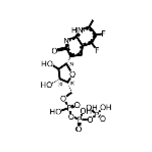 Cc1[nH]c2nc(=O)c([C@@H]3O[C@H](COP(=O)(O)OP(=O)(O)OP(=O)(O)O)[C@H](O)C3O)cc-2c(F)c1F